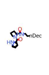 CCCCCCCCCCCCNC(=O)[C@@H]1CCCN1C(=O)c1ccc[nH]1